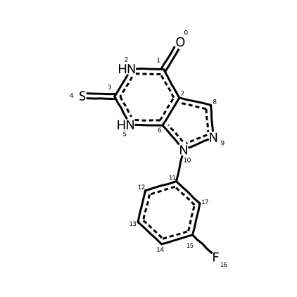 O=c1[nH]c(=S)[nH]c2c1cnn2-c1cccc(F)c1